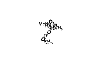 CNC(=O)c1cccc(Cn2nc(C)c(NC(=O)c3ccc(COc4cccc(C)c4)cc3)c2C)c1